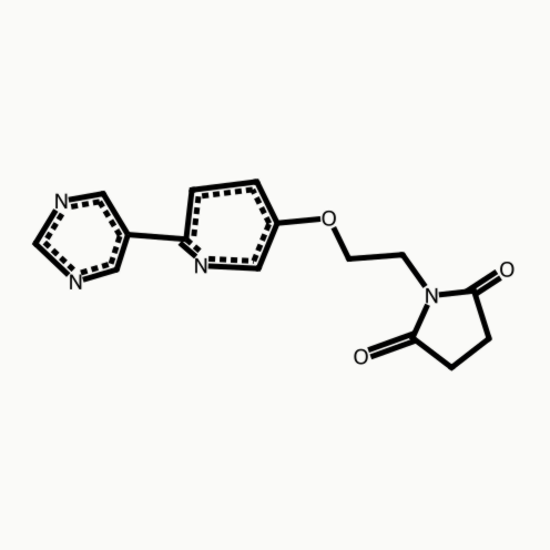 O=C1CCC(=O)N1CCOc1ccc(-c2cncnc2)nc1